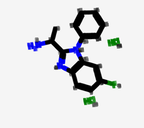 CC(N)c1nc2ccc(F)cc2n1-c1ccccc1.Cl.Cl